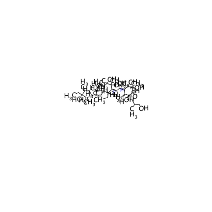 [2H]C([2H])=C1/C(=C(C)\C([2H])=C2\[C@@H]3CC[C@H]([C@](C)(C(C)C)C(C)CC(C)C(O)(CC)CC)[C@@]3(C(C)C)C(C)(C)C(C)(C)C2(C)C)C(C)(C)[C@@](C)(O)[C@@]([2H])(OCC(C)CO)[C@]1([2H])O